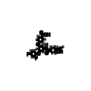 CC(C)CC1(O)CCN(C(=O)Nc2cc(Oc3ccc(C(=O)O)cc3)cc(Oc3ccc(F)cc3F)c2)CC1